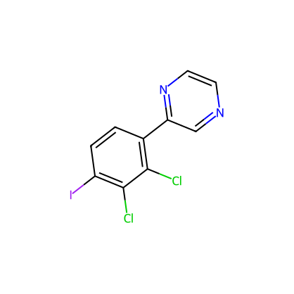 Clc1c(I)ccc(-c2cnccn2)c1Cl